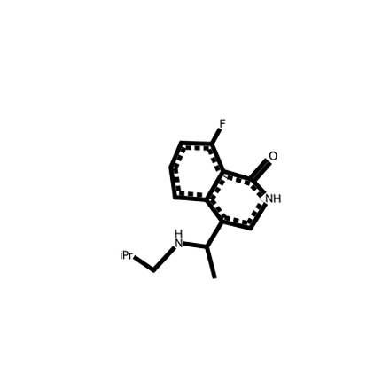 CC(C)CNC(C)c1c[nH]c(=O)c2c(F)cccc12